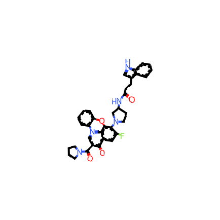 O=C(CCc1c[nH]c2ccccc12)NC1CCN(c2c(F)cc3c(=O)c(C(=O)N4CCCC4)cn4c3c2Oc2ccccc2-4)C1